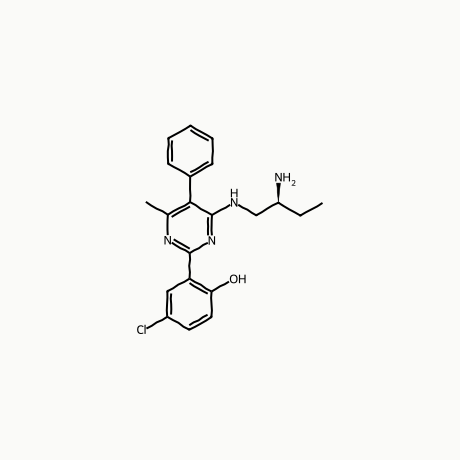 CC[C@H](N)CNc1nc(-c2cc(Cl)ccc2O)nc(C)c1-c1ccccc1